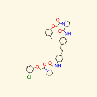 Cc1cccc(OCC(=O)N2CCC[C@H]2C(=O)Nc2ccc(/C=C/c3ccc(NC(=O)[C@@H]4CCCN4C(=O)COc4cccc(Cl)c4)cc3)cc2)c1